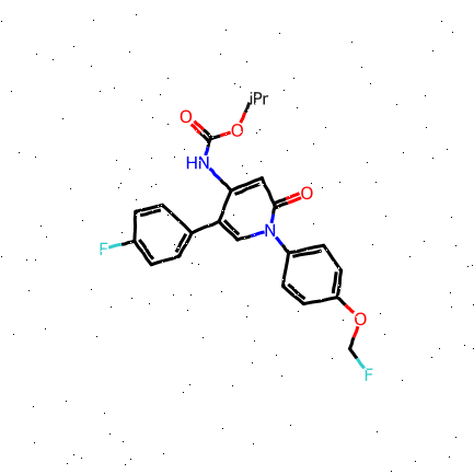 CC(C)OC(=O)Nc1cc(=O)n(-c2ccc(OCF)cc2)cc1-c1ccc(F)cc1